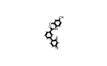 N#Cc1ccc(NC(=O)c2[c]ccc(-c3ccc(F)cc3F)c2)c(Cl)c1